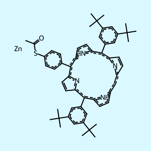 CC(=O)Sc1ccc(-c2c3nc(c(-c4cc(C(C)(C)C)cc(C(C)(C)C)c4)c4ccc(cc5nc(c(-c6cc(C(C)(C)C)cc(C(C)(C)C)c6)c6ccc2[nH]6)C=C5)[nH]4)C=C3)cc1.[Zn]